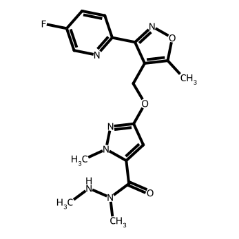 CNN(C)C(=O)c1cc(OCc2c(-c3ccc(F)cn3)noc2C)nn1C